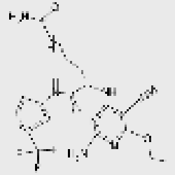 CCOc1nc(N)nc(N[C@@H](CCCNC(N)=O)C(=O)Nc2cccc(C(F)(F)F)c2)c1C#N